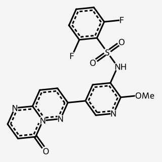 COc1ncc(-c2ccc3nccc(=O)n3n2)cc1NS(=O)(=O)c1c(F)cccc1F